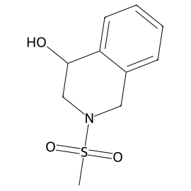 CS(=O)(=O)N1Cc2ccccc2C(O)C1